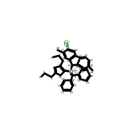 CCCC1=CC(CCC)=[C]([Zr+2](=[C](c2ccccc2)c2ccccc2)[CH]2c3cc(C)ccc3-c3ccc(C)cc32)C1.[Cl-].[Cl-]